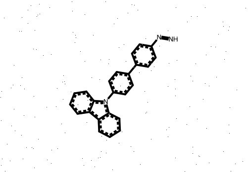 N=Nc1ccc(-c2ccc(-n3c4ccccc4c4ccccc43)cc2)cc1